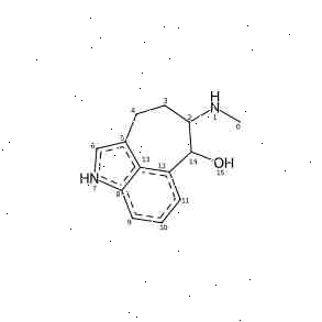 CNC1CCc2c[nH]c3cccc(c23)C1O